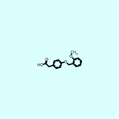 COc1ccccc1COc1ccc(CC(=O)O)cc1